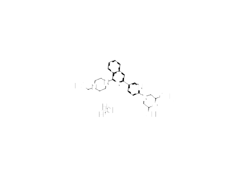 CCN1CCN(c2nc(-c3ccc(N4CC(C)OC(C)C4)nc3)cc3ccccc23)CC1.Cl.Cl.Cl